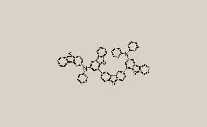 c1ccc(N(c2ccccc2)c2cc(-c3ccc4sc5ccc(-c6cc(N(c7ccccc7)c7ccc8sc9ccccc9c8c7)cc7c6sc6ccccc67)cc5c4c3)c3sc4ccccc4c3c2)cc1